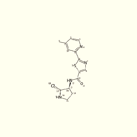 Cc1ccnc(-c2ncc(C(=O)N[C@H]3CCNC3=O)s2)c1